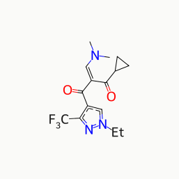 CCn1cc(C(=O)C(=CN(C)C)C(=O)C2CC2)c(C(F)(F)F)n1